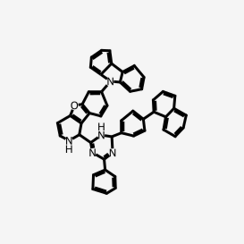 C1=Cc2oc3cc(-n4c5ccccc5c5ccccc54)ccc3c2C(C2=NC(c3ccccc3)=NC(c3ccc(-c4cccc5ccccc45)cc3)N2)N1